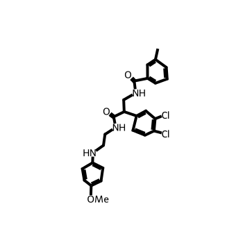 COc1ccc(NCCNC(=O)C(CNC(=O)c2cccc(C)c2)c2ccc(Cl)c(Cl)c2)cc1